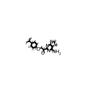 CC(C)c1ccc(OCC(=O)c2nc(N)c3c(n2)[N]C=N3)cc1